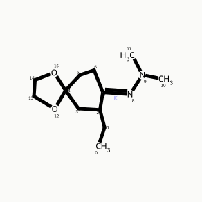 CCC1CC2(CC/C1=N\N(C)C)OCCO2